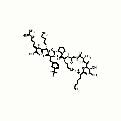 C[C@H](NC(=O)[C@@H](NC(=O)[C@@H](N)CCCCN)[C@@H](O)CN)C(=O)NCC(=O)N[C@H](CCCN)C(=O)N1CCC[C@H]1C(=O)NC(Cc1cccc(C(F)(F)F)c1)C(=O)N[C@@H](CCCCN)C(=O)N/C(=C\CCNC(=N)N)C(=O)O